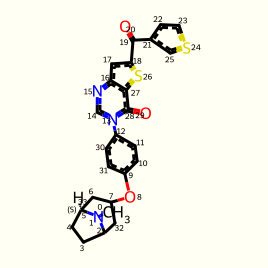 CN1C2CC[C@H]1CC(Oc1ccc(-n3cnc4cc(C(=O)c5ccsc5)sc4c3=O)cc1)C2